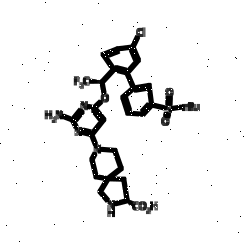 CCCCS(=O)(=O)c1cccc(-c2cc(Cl)ccc2[C@@H](Oc2cc(N3CCC4(CC3)CN[C@H](C(=O)O)C4)nc(N)n2)C(F)(F)F)c1